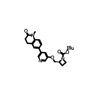 CN1C(=O)CCc2cc(-c3cncc(OC[C@@H]4CCN4C(=O)OC(C)(C)C)c3)ccc21